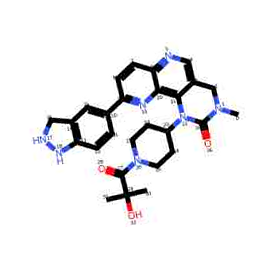 CN1Cc2cnc3ccc(-c4ccc5c(c4)CNN5)nc3c2N(C2CCN(C(=O)C(C)(C)O)CC2)C1=O